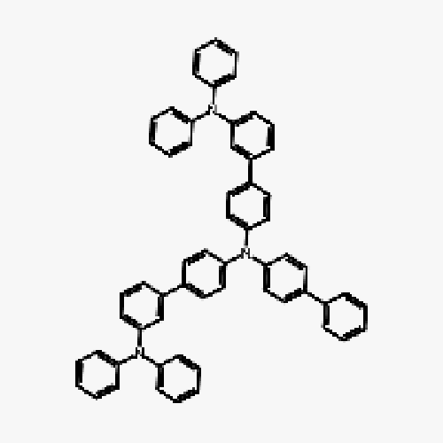 c1ccc(-c2ccc(N(c3ccc(-c4cccc(N(c5ccccc5)c5ccccc5)c4)cc3)c3ccc(-c4cccc(N(c5ccccc5)c5ccccc5)c4)cc3)cc2)cc1